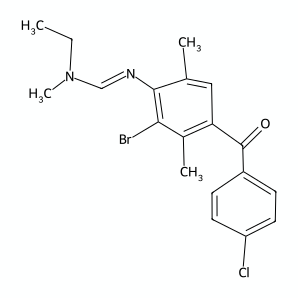 CCN(C)C=Nc1c(C)cc(C(=O)c2ccc(Cl)cc2)c(C)c1Br